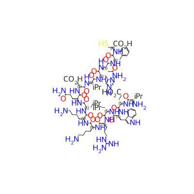 CC(C)C[C@H](NC(=O)[C@H](CCCCN)NC(=O)[C@H](CCCCN)NC(=O)[C@H](CCCNC(=N)N)NC(=O)[C@H](CC(C)C)NC(=O)[C@H](Cc1c[nH]c2ccccc12)NC(=O)[C@H](CCC(=O)O)NC(=O)[C@@H](N)C(C)C)C(=O)N[C@@H](CCC(N)=O)C(=O)N[C@@H](CC(=O)O)C(=O)N[C@H](C(=O)N[C@@H](Cc1c[nH]cn1)C(=O)N[C@@H](CC(N)=O)C(=O)N[C@@H](Cc1ccccc1)C(=O)N[C@@H](CS)C(=O)O)C(C)C